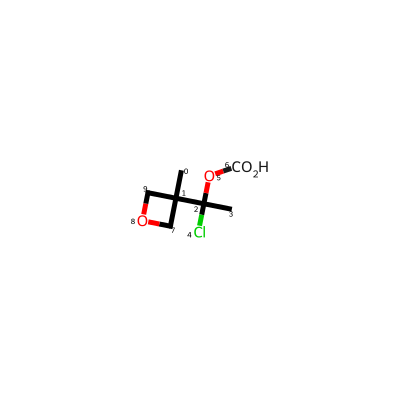 CC1(C(C)(Cl)OC(=O)O)COC1